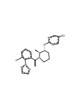 C=C(c1cccc(F)c1-n1nccn1)N1CCC[C@@H](Oc2ncc(Cl)cn2)[C@@H]1C